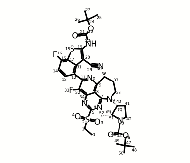 CCS(=O)(=O)c1nc2c3c(nc(-c4ccc(F)c5sc(NC(=O)OC(C)(C)C)c(C#N)c45)c(F)c3n1)CCCN2[C@@H]1CCN(C(=O)OC(C)(C)C)[C@@H]1C